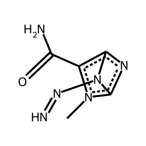 Cn1c2nc(c1C(N)=O)N2N=N